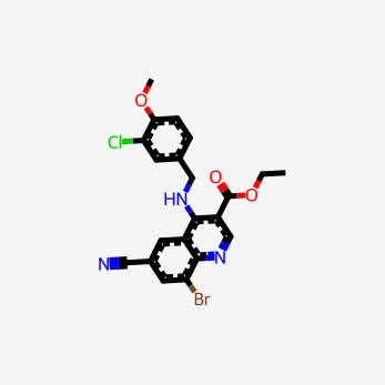 CCOC(=O)c1cnc2c(Br)cc(C#N)cc2c1NCc1ccc(OC)c(Cl)c1